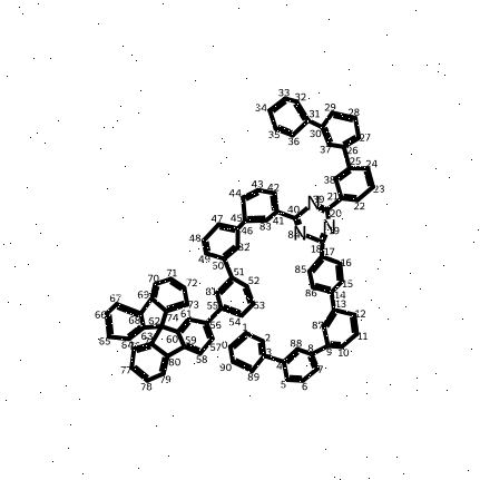 c1ccc(-c2cccc(-c3cccc(-c4ccc(-c5nc(-c6cccc(-c7cccc(-c8ccccc8)c7)c6)nc(-c6cccc(-c7cccc(-c8cccc(-c9ccc%10c(c9)C9(c%11ccccc%11-c%11ccccc%119)c9ccccc9-%10)c8)c7)c6)n5)cc4)c3)c2)cc1